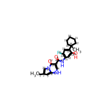 CCc1cc2[nH]cc(C(=O)Nc3cc(O)c(C4(C)CCCCC4)cc3F)c(=O)n2c1